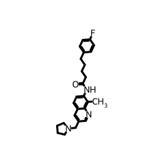 Cc1c(NC(=O)CCCCc2ccc(F)cc2)ccc2cc(CN3CCCC3)cnc12